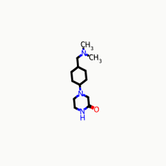 CN(C)CC1CCC(N2CCNC(=O)C2)CC1